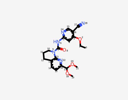 CCOc1cc(NC(=O)N2CCCc3ccc(C(OC)OC)nc32)ncc1C#N